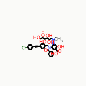 CNC[C@H](O)[C@@H](O)[C@H](O)[C@H](O)CO.O=C(O)c1cc(N(Cc2ccc(C#Cc3ccc(Cl)cc3)cc2)C(=O)C2CCCCC2)ccc1O